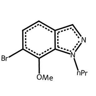 CCCn1ncc2ccc(Br)c(OC)c21